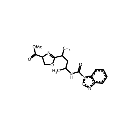 COC(=O)C1COC(C(C)CC(C)NC(=O)n2nnc3ccccc32)=N1